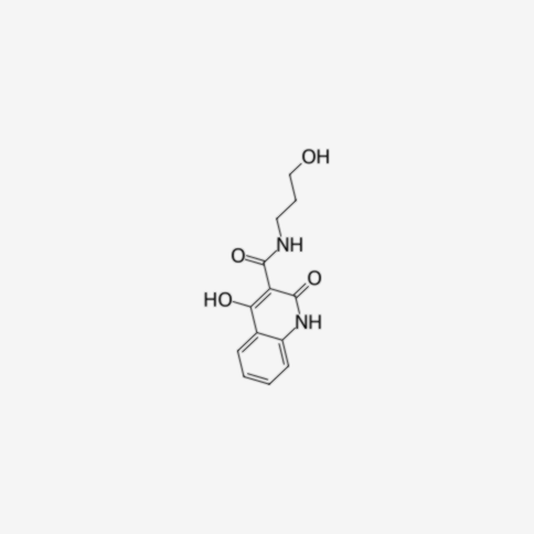 O=C(NCCCO)c1c(O)c2ccccc2[nH]c1=O